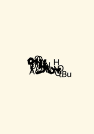 CC#CCn1c(N2CCCC(NC(=O)OC(C)(C)C)C2)nc2c1c(=O)n(CC(=O)c1ccccc1OCC(C)=O)c(=O)n2C